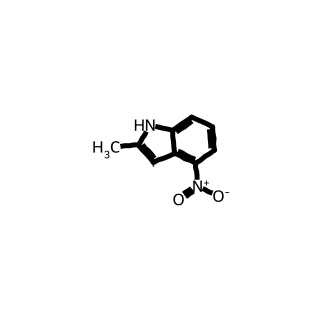 Cc1[c]c2c([N+](=O)[O-])cccc2[nH]1